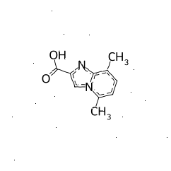 Cc1ccc(C)n2cc(C(=O)O)nc12